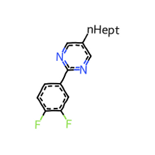 CCCCCCCc1cnc(-c2ccc(F)c(F)c2)nc1